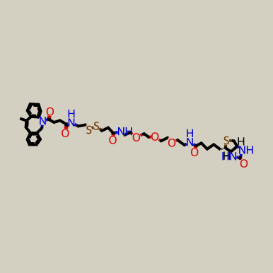 C/C1=C/c2ccccc2CN(C(=O)CCC(=O)NCCSSCCC(=O)NCCOCCOCCOCCNC(=O)CCCC[C@@H]2SC[C@@H]3NC(=O)N[C@@H]32)c2ccccc21